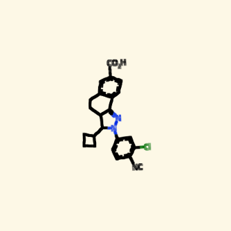 [C-]#[N+]c1ccc(N2N=C3c4ccc(C(=O)O)cc4CCC3C2C2CCC2)cc1Cl